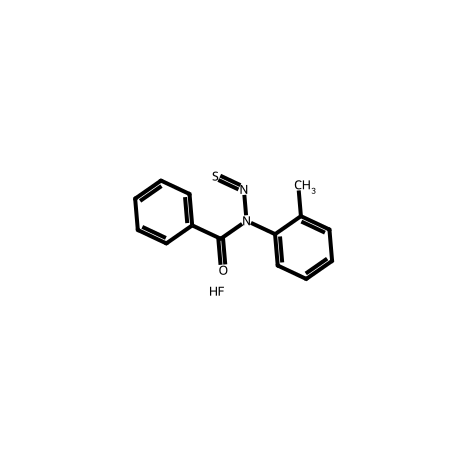 Cc1ccccc1N(N=S)C(=O)c1ccccc1.F